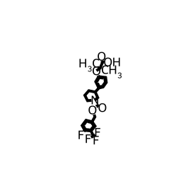 CC(C)(Oc1cccc(C2CCCN(C(=O)OCc3ccc(F)c(C(F)(F)F)c3)C2)c1)C(=O)O